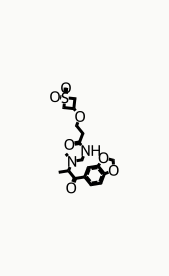 CC(C(=O)c1ccc2c(c1)OCO2)N(C)CNC(=O)CCOC1CS(=O)(=O)C1